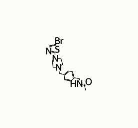 CC(=O)NCc1ccc(CN2CCN(c3ncc(Br)s3)CC2)cc1